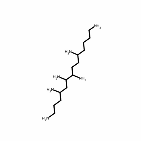 NCCCCC(N)CCC(N)C(N)CC(N)CCCN